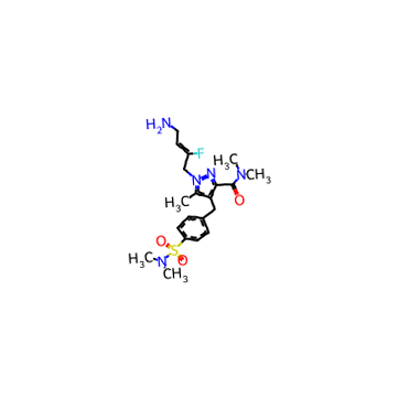 Cc1c(Cc2ccc(S(=O)(=O)N(C)C)cc2)c(C(=O)N(C)C)nn1CC(F)=CCN